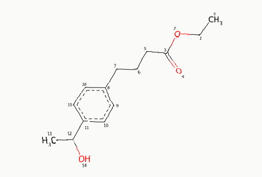 CCOC(=O)CCCc1ccc(C(C)O)cc1